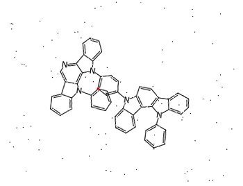 c1ccc(-n2c3ccccc3c3ccc4c(c5ccccc5n4-c4ccc(-n5c6ccccc6c6ncc7c8ccccc8n(-c8ccccc8)c7c65)cc4)c32)cc1